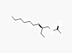 CCCCCC/C=C(\CC)COC(C)=O